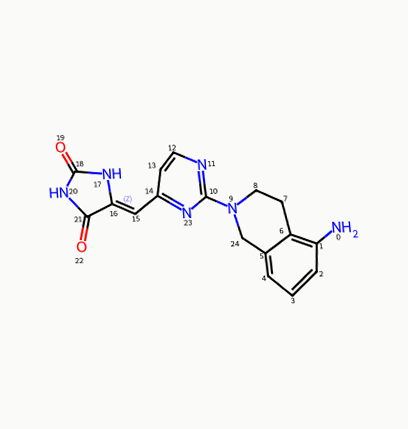 Nc1cccc2c1CCN(c1nccc(/C=C3\NC(=O)NC3=O)n1)C2